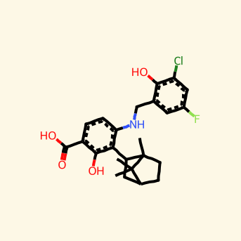 CC1(C)C2CCC1(C)C(c1c(NCc3cc(F)cc(Cl)c3O)ccc(C(=O)O)c1O)C2